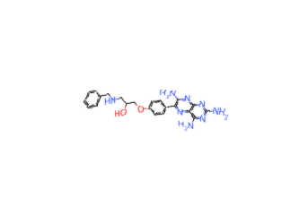 Nc1nc(N)c2nc(-c3ccc(OCC(O)CNCc4ccccc4)cc3)c(N)nc2n1